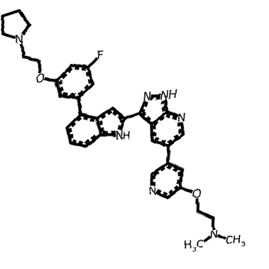 CN(C)CCOc1cncc(-c2cnc3[nH]nc(-c4cc5c(-c6cc(F)cc(OCCN7CCCC7)c6)cccc5[nH]4)c3c2)c1